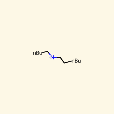 CCCCCC[N]CCCCC